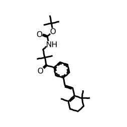 CC1=C(/C=C/c2cccc(C(=O)C(C)(C)CNC(=O)OC(C)(C)C)c2)C(C)(C)CCC1